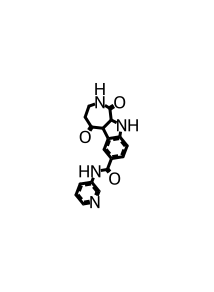 O=C(Nc1cccnc1)c1ccc2c(c1)C1C(=O)CCNC(=O)C1N2